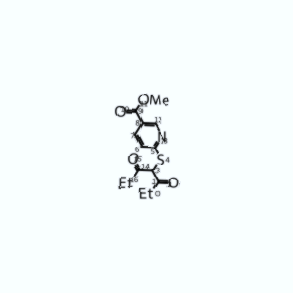 CCC(=O)C(Sc1ccc(C(=O)OC)cn1)C(=O)CC